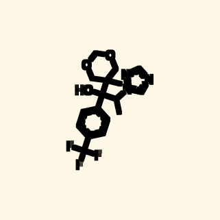 CC(n1cncn1)C(O)(c1ccc(C(F)(F)F)cc1)C1(C)COCOC1